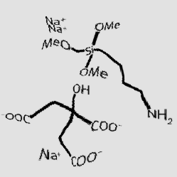 CO[Si](CCCN)(OC)OC.O=C([O-])CC(O)(CC(=O)[O-])C(=O)[O-].[Na+].[Na+].[Na+]